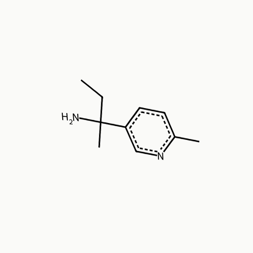 CCC(C)(N)c1ccc(C)nc1